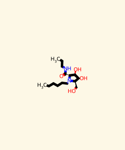 CCCCCCN1[C@H](CO)[C@@H](O)[C@H](O)[C@H]1C(=O)NCCC